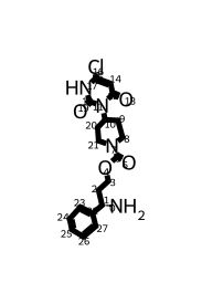 N[C@@H](CCOC(=O)N1CCC(n2c(=O)cc(Cl)[nH]c2=O)CC1)c1ccccc1